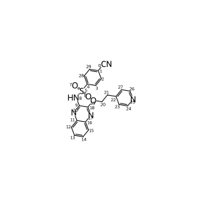 N#Cc1ccc(S(=O)(=O)Nc2nc3ccccc3nc2OCCc2ccncc2)cc1